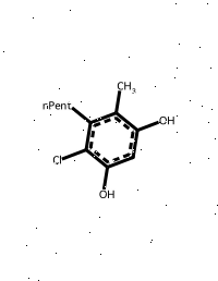 CCCCCc1c(C)c(O)cc(O)c1Cl